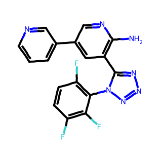 Nc1ncc(-c2cccnc2)cc1-c1nnnn1-c1c(F)ccc(F)c1F